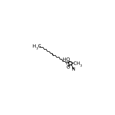 CCCCCCCCC=CCCCCCCCCn1c(O)cc(C)c(C#N)c1=O